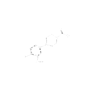 CCC(=O)N1CCN(c2ccc(Cl)c(OC)c2)CC1